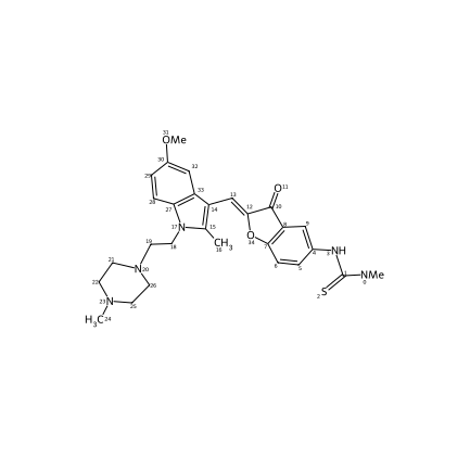 CNC(=S)Nc1ccc2c(c1)C(=O)C(=Cc1c(C)n(CCN3CCN(C)CC3)c3ccc(OC)cc13)O2